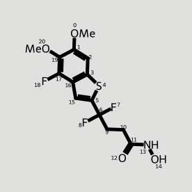 COc1cc2sc(C(F)(F)CCC(=O)NO)cc2c(F)c1OC